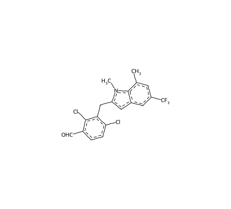 Cc1cc(C(F)(F)F)cc2cc(Cc3c(Cl)ccc(C=O)c3Cl)n(C)c12